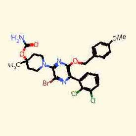 COc1ccc(COc2nc(N3CCC(C)(OC(N)=O)CC3)c(Br)nc2-c2cccc(Cl)c2Cl)cc1